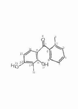 Cc1ccccc1C(=O)c1ccc(O)c(C)c1O